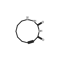 O=C1C#CCCCCCNNC(=O)N1